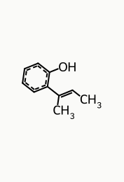 CC=C(C)c1ccccc1O